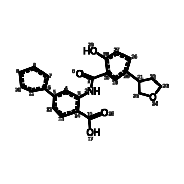 O=C(Nc1cc(-c2ccccc2)ccc1C(=O)O)c1cc(C2CCOC2)ccc1O